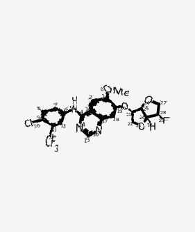 COc1cc2c(Nc3ccc(Cl)c(C(F)(F)F)c3)ncnc2cc1O[C@@H]1CO[C@@H]2C1OC[C@H]2F